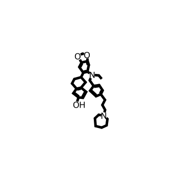 CCN(Cc1ccc(CCCN2CCCCCC2)cc1)c1cc2c(cc1C1CCc3cc(O)ccc3C1)OCO2